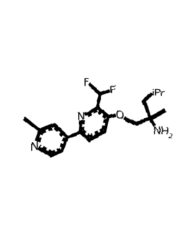 Cc1cc(-c2ccc(OCC(C)(N)CC(C)C)c(C(F)F)n2)ccn1